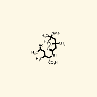 CNC(C)(C)CC(C)(C)CC(=O)N[C@H](C(=O)O)C(C)CC(C)C(C)=O